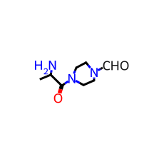 CC(N)C(=O)N1CCN(C=O)CC1